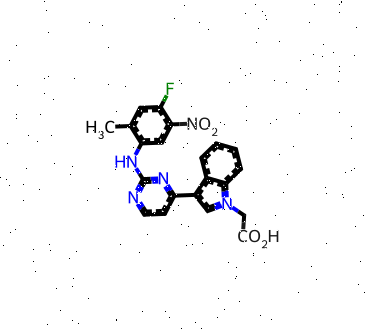 Cc1cc(F)c([N+](=O)[O-])cc1Nc1nccc(-c2cn(CC(=O)O)c3ccccc23)n1